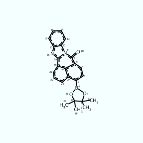 CC1(C)OB(c2ccc3c(=O)n4c5ccccc5nc4c4cccc2c34)OC1(C)C